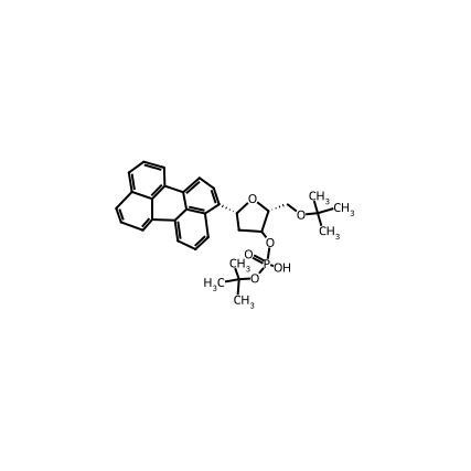 CC(C)(C)OC[C@H]1O[C@@H](c2ccc3c4cccc5cccc(c6cccc2c63)c54)CC1OP(=O)(O)OC(C)(C)C